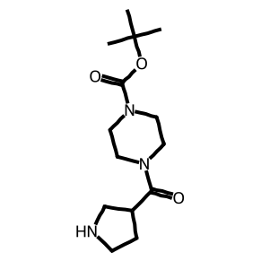 CC(C)(C)OC(=O)N1CCN(C(=O)C2CCNC2)CC1